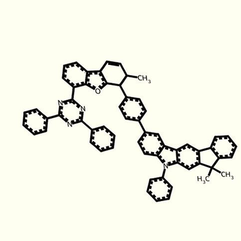 CC1C=Cc2c(oc3c(-c4nc(-c5ccccc5)nc(-c5ccccc5)n4)cccc23)C1c1ccc(-c2ccc3c(c2)c2cc4c(cc2n3-c2ccccc2)C(C)(C)c2ccccc2-4)cc1